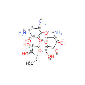 CC[C@H]1O[C@@H](OC2[C@H](O[C@H]3OC(CO)[C@@H](O)[C@H](O)C3N)C(N)C[C@@H](N)[C@H]2O)C(O)C1O